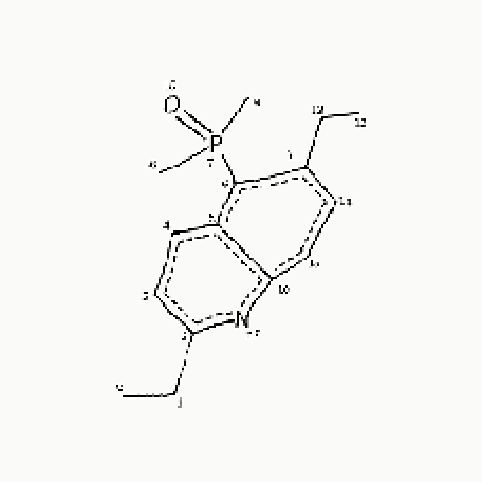 CCc1ccc2c(P(C)(C)=O)c(CC)ccc2n1